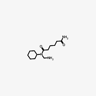 NCN(C(=O)CCCCC(N)=O)C1CCCCC1